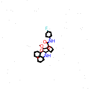 COC(=O)C1=C(C(=O)Nc2ccc(F)cc2)C2C=CC1(C(Cc1ccccc1)Nc1ccccc1)O2